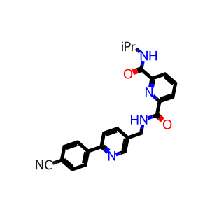 CC(C)NC(=O)c1cccc(C(=O)NCc2ccc(-c3ccc(C#N)cc3)nc2)n1